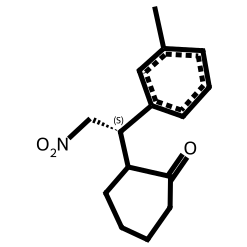 Cc1cccc([C@@H](C[N+](=O)[O-])C2CCCCC2=O)c1